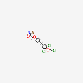 CSc1ncoc1C(C)Oc1ccc(C(C)(C)c2cc(Cl)c(OCCCl)c(Cl)c2)cc1